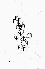 CC(NS(=O)(=O)c1ccc(-c2c(C#N)c3cc(C(F)(F)F)cnc3n2-c2ccccc2)nc1)C(F)(F)F